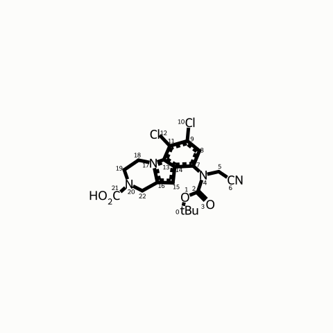 CC(C)(C)OC(=O)N(CC#N)c1cc(Cl)c(Cl)c2c1cc1n2CCN(C(=O)O)C1